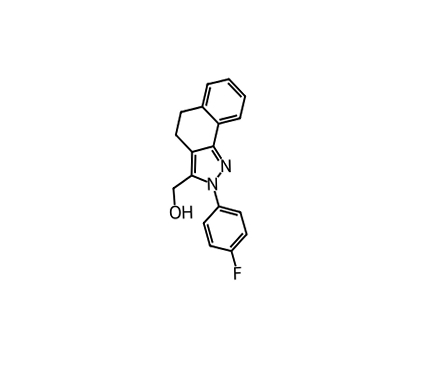 OCc1c2c(nn1-c1ccc(F)cc1)-c1ccccc1CC2